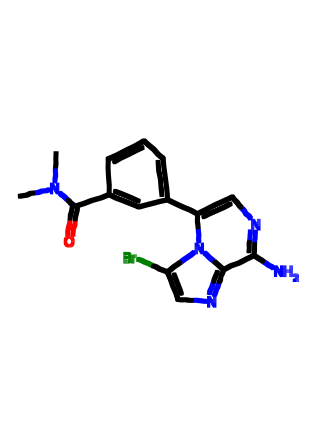 CN(C)C(=O)c1cccc(-c2cnc(N)c3ncc(Br)n23)c1